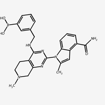 Cc1cc2c(C(N)=O)cccc2n1-c1nc2c(c(NCc3cccc(B(O)O)c3)n1)CCN(C)C2